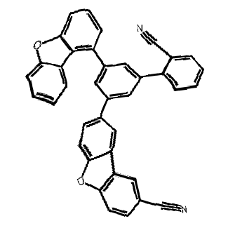 N#Cc1ccc2oc3ccc(-c4cc(-c5ccccc5C#N)cc(-c5cccc6oc7ccccc7c56)c4)cc3c2c1